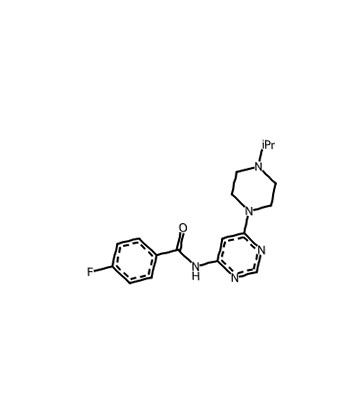 CC(C)N1CCN(c2cc(NC(=O)c3ccc(F)cc3)ncn2)CC1